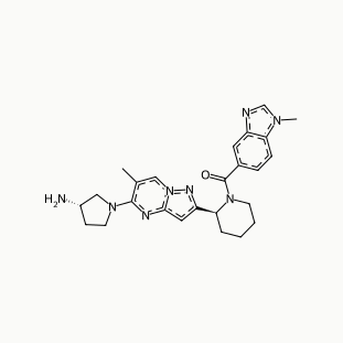 Cc1cn2nc([C@@H]3CCCCN3C(=O)c3ccc4c(c3)ncn4C)cc2nc1N1CC[C@H](N)C1